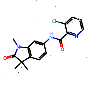 CN1C(=O)C(C)(C)c2ccc(NC(=O)c3ncccc3Cl)cc21